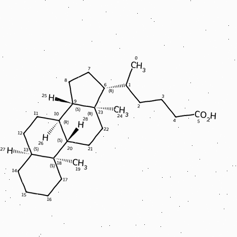 CC(CCCC(=O)O)[C@H]1CC[C@H]2[C@@H]3CC[C@@H]4CCCC[C@]4(C)[C@H]3CC[C@]12C